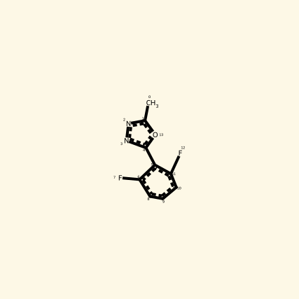 Cc1nnc(-c2c(F)cccc2F)o1